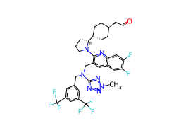 Cn1nnc(N(Cc2cc(C(F)(F)F)cc(C(F)(F)F)c2)Cc2cc3cc(F)c(F)cc3nc2N2CCC[C@@H]2[C@H]2CC[C@H](CC=O)CC2)n1